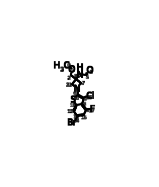 COCC1(NC=O)CN(c2sc3cc(Br)cc(F)c3c2Cl)C1